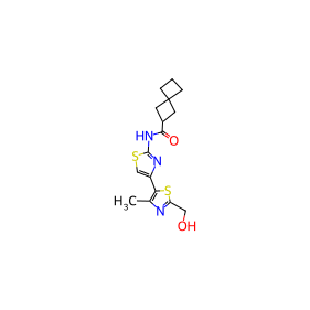 Cc1nc(CO)sc1-c1csc(NC(=O)C2CC3(CCC3)C2)n1